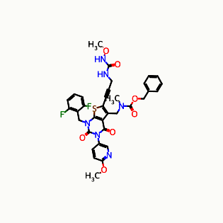 CONC(=O)NCC#Cc1sc2c(c1CN(C)C(=O)OCc1ccccc1)c(=O)n(-c1ccc(OC)nc1)c(=O)n2Cc1c(F)cccc1F